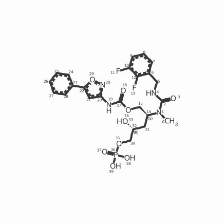 CN(C(=O)NCc1cccc(F)c1F)[C@H](COC(=O)Nc1cc(-c2ccccc2)on1)C[C@@H](O)COP(=O)(O)O